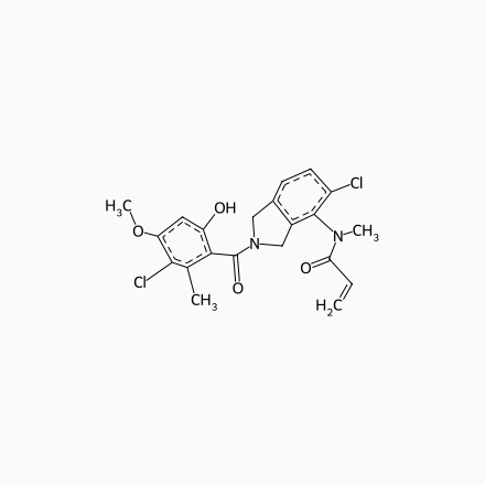 C=CC(=O)N(C)c1c(Cl)ccc2c1CN(C(=O)c1c(O)cc(OC)c(Cl)c1C)C2